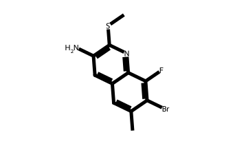 CSc1nc2c(F)c(Br)c(C)cc2cc1N